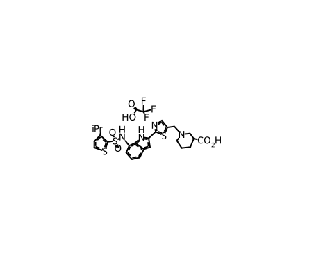 CC(C)c1ccsc1S(=O)(=O)Nc1cccc2cc(-c3ncc(CN4CCCC(C(=O)O)C4)s3)[nH]c12.O=C(O)C(F)(F)F